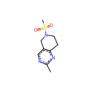 Cc1ncc2c(n1)CCN(S(C)(=O)=O)C2